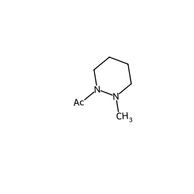 CC(=O)N1CCCCN1C